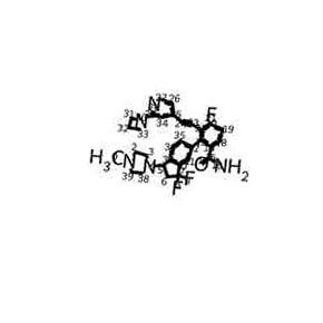 CN1CCN(C2CC(F)(F)c3cc(-c4c(C(N)=O)ccc(F)c4C#Cc4ccnc(N5CCC5)c4)ccc32)CC1